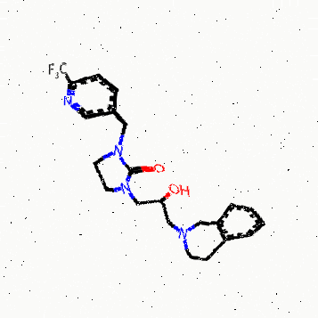 O=C1N(Cc2ccc(C(F)(F)F)nc2)CCN1CC(O)CN1CCc2ccccc2C1